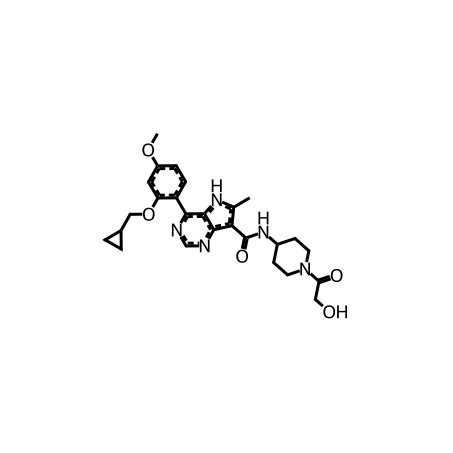 COc1ccc(-c2ncnc3c(C(=O)NC4CCN(C(=O)CO)CC4)c(C)[nH]c23)c(OCC2CC2)c1